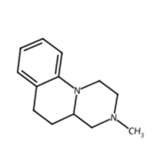 CN1CCN2c3ccccc3CCC2C1